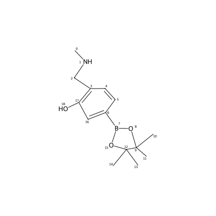 CNCc1ccc(B2OC(C)(C)C(C)(C)O2)cc1O